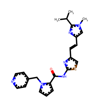 CC(C)c1nc(C=Cc2csc(NC(=O)c3cccn3Cc3ccncc3)n2)cn1C